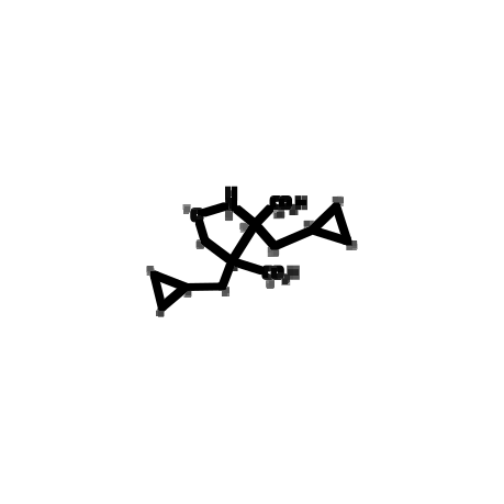 O=C(O)C1(CC2CC2)CONC1(CC1CC1)C(=O)O